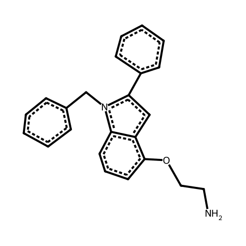 NCCOc1cccc2c1cc(-c1ccccc1)n2Cc1ccccc1